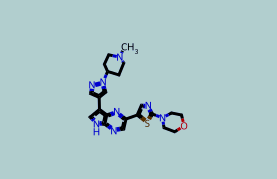 CN1CCC(n2cc(-c3c[nH]c4ncc(-c5cnc(N6CCOCC6)s5)nc34)cn2)CC1